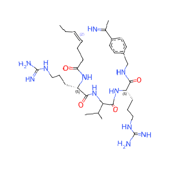 CC/C=C\CCC(=O)N[C@@H](CCCNC(=N)N)C(=O)NC(C(=O)N[C@@H](CCCNC(=N)N)C(=O)NCc1ccc(C(C)=N)cc1)C(C)C